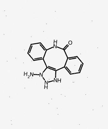 Nn1[nH][nH]c2c3ccccc3c(=O)[nH]c3ccccc3c1=2